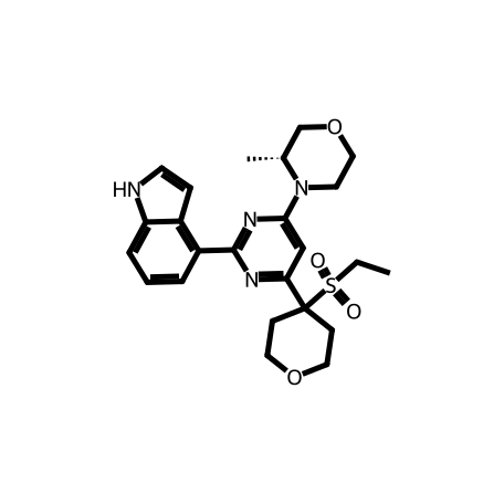 CCS(=O)(=O)C1(c2cc(N3CCOC[C@H]3C)nc(-c3cccc4[nH]ccc34)n2)CCOCC1